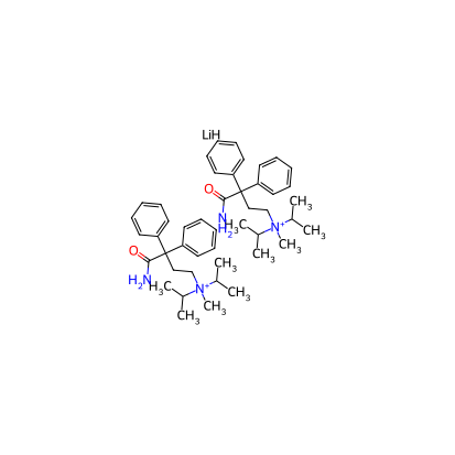 CC(C)[N+](C)(CCC(C(N)=O)(c1ccccc1)c1ccccc1)C(C)C.CC(C)[N+](C)(CCC(C(N)=O)(c1ccccc1)c1ccccc1)C(C)C.[LiH]